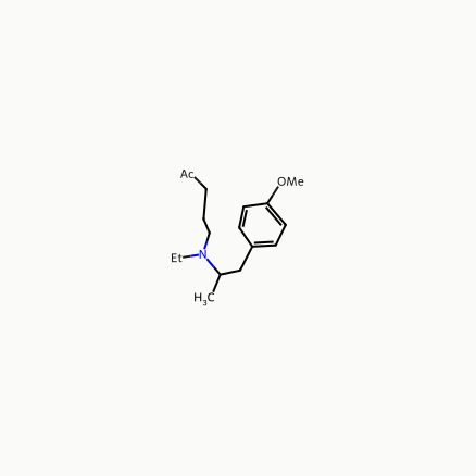 CCN(CCCC(C)=O)C(C)Cc1ccc(OC)cc1